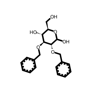 OC[C@H]1OC(O)[C@H](OCc2ccccc2)[C@@H](OCc2ccccc2)[C@@H]1O